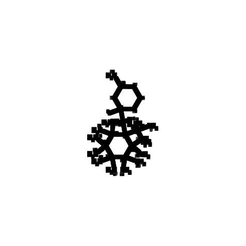 CC1(C(N)(N)C2(C(N)(N)N)C(N)(N)C(N)(N)C(N)(N)C(N)(N)C2(N)N)CCCC(N)C1